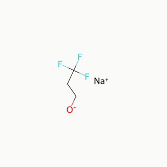 [Na+].[O-]CCC(F)(F)F